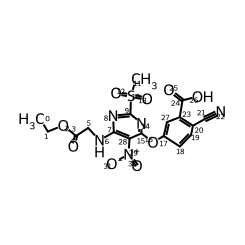 CCOC(=O)CNc1nc(S(C)(=O)=O)nc(Oc2ccc(C#N)c(C(=O)O)c2)c1[N+](=O)[O-]